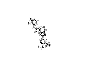 Nc1ncc(-c2cc3n(n2)CCOC32CCN(Cc3cccc(=O)[nH]3)C2)cc1C(F)(F)F